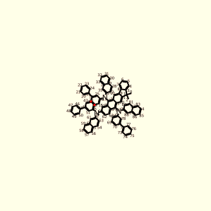 CC1(C)c2ccccc2-c2cc3c(N(c4cccc(-c5ccccc5)c4)c4ccc5ccccc5c4)c4cc(N(c5cccc(-c6ccccc6)c5)c5ccc6ccccc6c5)ccc4c(N(c4cccc(-c5ccccc5)c4)c4ccc5ccccc5c4)c3cc21